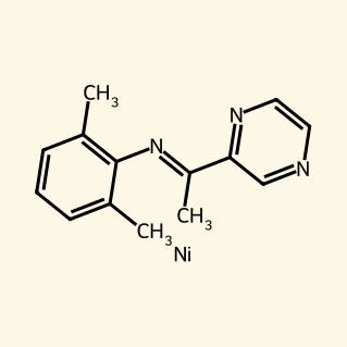 CC(=Nc1c(C)cccc1C)c1cnccn1.[Ni]